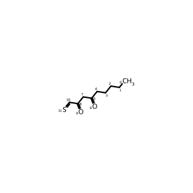 CCCCCC(=O)CC(=O)C=S